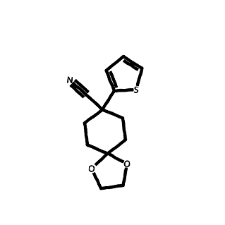 N#CC1(c2cccs2)CCC2(CC1)OCCO2